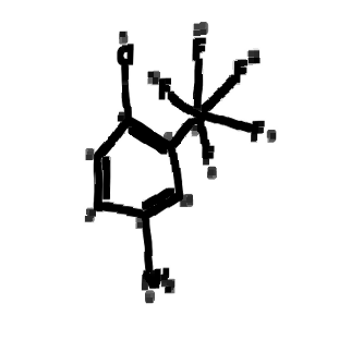 Nc1ccc(Cl)c(S(F)(F)(F)(F)F)c1